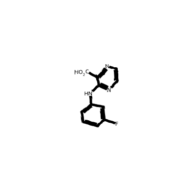 O=C(O)c1nccnc1Nc1cccc(F)c1